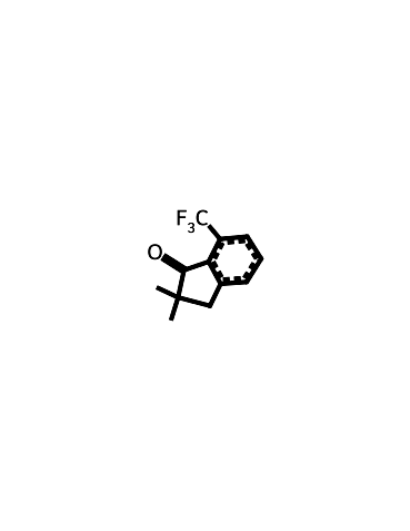 CC1(C)Cc2cccc(C(F)(F)F)c2C1=O